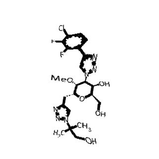 CO[C@@H]1[C@@H](n2cc(-c3ccc(Cl)c(F)c3F)nn2)[C@@H](O)[C@@H](CO)O[C@@H]1Cc1cn(C(C)(C)CO)nn1